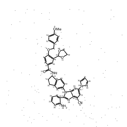 COc1ccc(COc2ccc(C(=O)N[C@H]3CCc4cc(-n5c(-c6cccnc6N)nc6c(C#N)cc(-n7cccn7)nc65)ccc43)cc2C2OCCO2)cc1